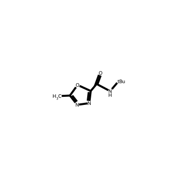 Cc1nnc(C(=O)NC(C)(C)C)o1